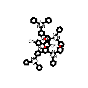 [C-]#[N+]c1cc(-n2c3ccc(-c4nc(-c5ccccc5)nc(-c5ccccc5)n4)cc3c3cc(-c4nc(-c5ccccc5)nc(-c5ccccc5)n4)ccc32)c(-c2ccc(C(F)(F)F)cc2C#N)c(-n2c3ccc(-c4nc(-c5ccccc5)nc(-c5ccccc5)n4)cc3c3cc(-c4nc(-c5ccccc5)nc(-c5ccccc5)n4)ccc32)c1